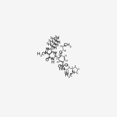 [2H]C(CC1CCCN1C)NS(=O)(=O)c1ccc(OCCC)c(-c2nc3c(C([2H])([2H])C([2H])([2H])C([2H])([2H])[2H])nn(C)c3c(=O)[nH]2)c1